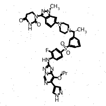 CC(C)Oc1c(-c2cn[nH]c2)ncn2nc(Nc3ccc(S(=O)(=O)c4cccc([C@@H](C)N5CCN(c6ccc7c(N8CCC(=O)NC8=O)nn(C)c7c6)CC5)c4)cc3F)nc12